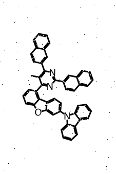 Cc1c(-c2ccc3ccccc3c2)nc(-c2ccc3ccccc3c2)nc1-c1cccc2oc3cc(-n4c5ccccc5c5ccccc54)ccc3c12